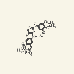 COc1cc(Nc2ncc(F)c(Nc3ccc4c(c3)CC(=O)[N+](C)(C)S4(=O)=O)n2)cc(OC)c1OC